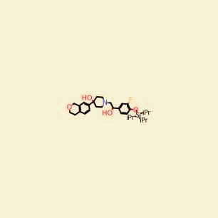 CC(C)[Si](Oc1ccc(C(O)CN2CCC(O)(c3ccc4c(c3)COCC4)CC2)cc1F)(C(C)C)C(C)C